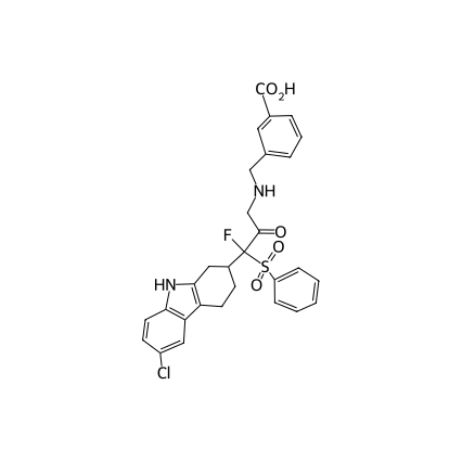 O=C(O)c1cccc(CNCC(=O)C(F)(C2CCc3c([nH]c4ccc(Cl)cc34)C2)S(=O)(=O)c2ccccc2)c1